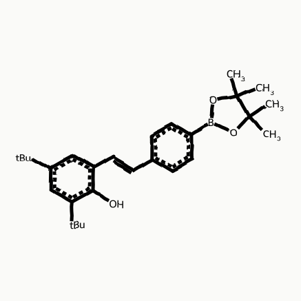 CC(C)(C)c1cc(C=Cc2ccc(B3OC(C)(C)C(C)(C)O3)cc2)c(O)c(C(C)(C)C)c1